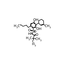 CCCCCc1cc(O)c(C2C=C(C)CCC2)c(O)c1S(=O)(=O)NC(=O)C(C)(C)C